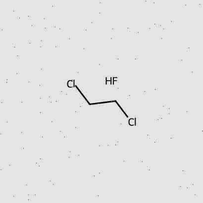 ClCCCl.F